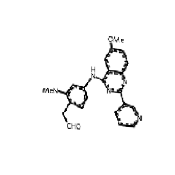 CNc1cc(Nc2nc(-c3cccnc3)nc3ccc(OC)cc23)ccc1CC=O